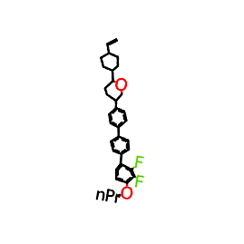 C=CC1CCC(C2CCC(c3ccc(-c4ccc(-c5ccc(OCCC)c(F)c5F)cc4)cc3)CO2)CC1